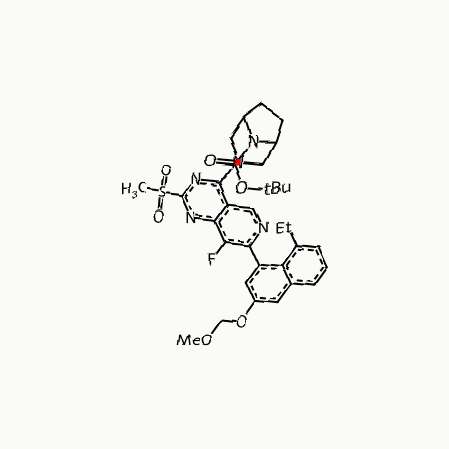 CCc1cccc2cc(OCOC)cc(-c3ncc4c(N5CC6CCC(C5)N6C(=O)OC(C)(C)C)nc(S(C)(=O)=O)nc4c3F)c12